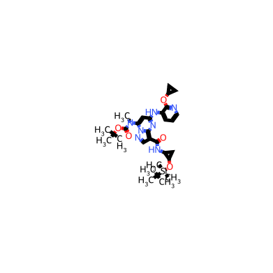 CN(C(=O)OC(C)(C)C)c1cc(Nc2cccnc2OC2CC2)nc2c(C(=O)NC3CC3O[Si](C)(C)C(C)(C)C)cnn12